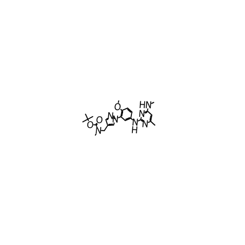 CNc1cc(C)nc(Nc2ccc(OC)c(-n3cc(CN(C)C(=O)OC(C)(C)C)cn3)c2)n1